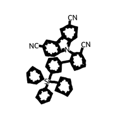 N#Cc1ccc2c(c1)c1cc(C#N)ccc1n2-c1c(C#N)cccc1-c1cccc([Si](c2ccccc2)(c2ccccc2)c2ccccc2)c1